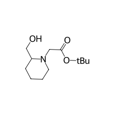 CC(C)(C)OC(=O)CN1CCCCC1CO